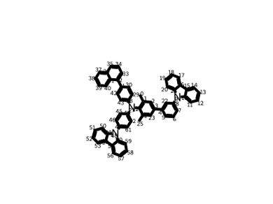 Cc1cc(-c2cccc(-n3c4ccccc4c4ccccc43)c2)cc(C)c1N(c1ccc(-c2cccc3ccccc23)cc1)c1ccc(-n2c3ccccc3c3ccccc32)cc1